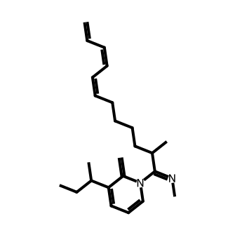 C=C/C=C\C=C/CCCCC(C)/C(=N/C)N1C=CC=C(C(C)CC)C1=C